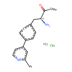 COC(=O)[C@@H](N)Cc1ccc(-c2ccnc(C(C)C)c2)cc1.Cl.Cl